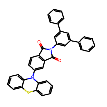 O=C1c2ccc(N3c4ccccc4Sc4ccccc43)cc2C(=O)N1c1cc(-c2ccccc2)cc(-c2ccccc2)c1